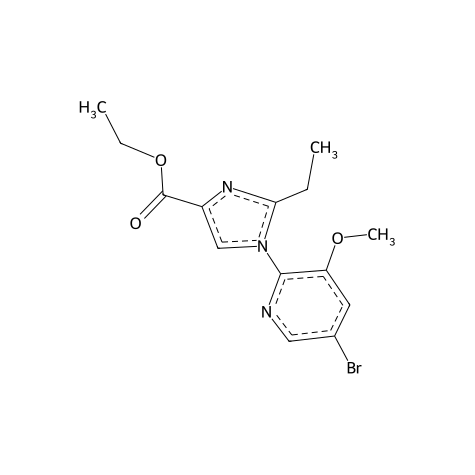 CCOC(=O)c1cn(-c2ncc(Br)cc2OC)c(CC)n1